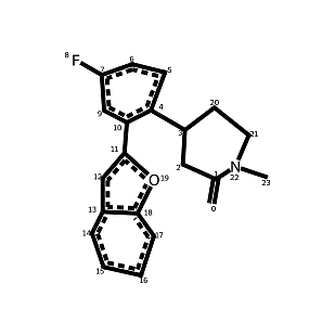 C=C1CC(c2ccc(F)cc2-c2cc3ccccc3o2)CCN1C